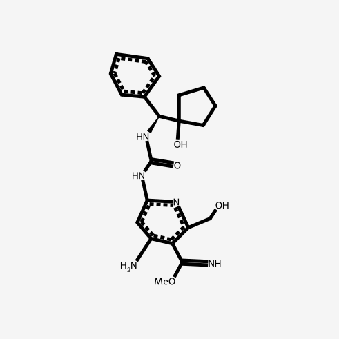 COC(=N)c1c(N)cc(NC(=O)N[C@@H](c2ccccc2)C2(O)CCCC2)nc1CO